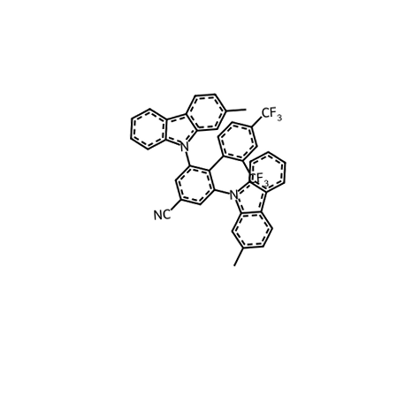 Cc1ccc2c3ccccc3n(-c3cc(C#N)cc(-n4c5ccccc5c5ccc(C)cc54)c3-c3ccc(C(F)(F)F)cc3C(F)(F)F)c2c1